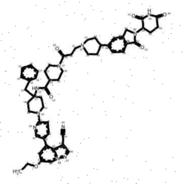 CCOc1cc(-c2ccc(N3CCC(Cc4ccccc4)(NC(=O)C4CCN(C(=O)CCN5CCC(c6ccc7c(c6)CN(C6CCC(=O)NC6=O)C7=O)CC5)CC4)CC3)nc2)c2c(C#N)cnn2c1